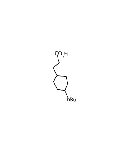 CCCCC1CCC(CCC(=O)O)CC1